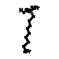 CC(C)CCCCCCCCP(C)C(C)C